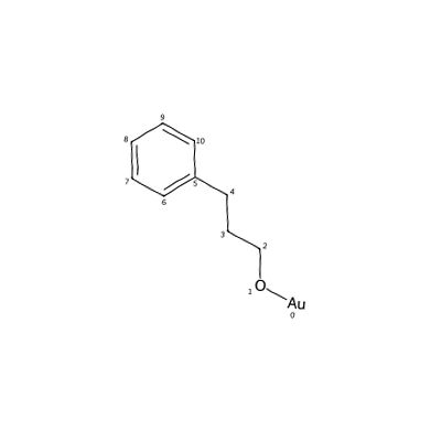 [Au][O]CCCc1ccccc1